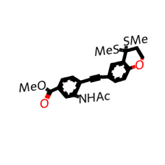 COC(=O)c1ccc(C#Cc2ccc3c(c2)C(SC)(SC)CCO3)c(NC(C)=O)c1